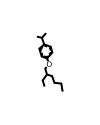 CCCCC(CC)COc1ccc(C(C)C)cc1